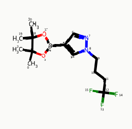 CC1(C)OB(c2cnn(CCCC(F)(F)F)c2)OC1(C)C